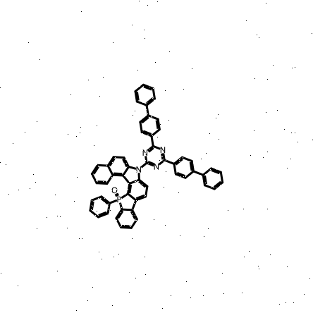 O=P1(c2ccccc2)c2ccccc2-c2ccc3c(c21)c1c2ccccc2ccc1n3-c1nc(-c2ccc(-c3ccccc3)cc2)nc(-c2ccc(-c3ccccc3)cc2)n1